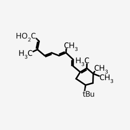 CC(C=CC1=C(C)C(C)(C)CC(C(C)(C)C)C1)=CC=CC(C)=CC(=O)O